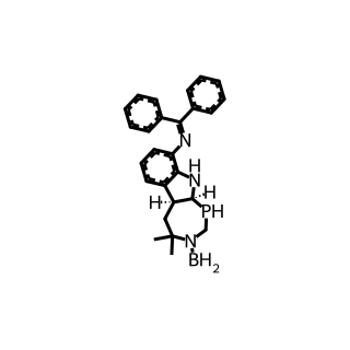 BN1CP[C@@H]2Nc3c(N=C(c4ccccc4)c4ccccc4)cccc3[C@@H]2CC1(C)C